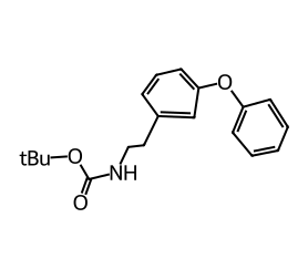 CC(C)(C)OC(=O)NCCc1cccc(Oc2ccccc2)c1